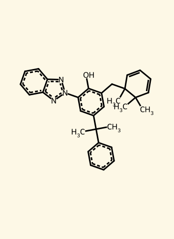 CC(C)(c1ccccc1)c1cc(CC2(C)C=CC=CC2(C)C)c(O)c(-n2nc3ccccc3n2)c1